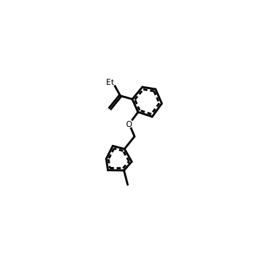 C=C(CC)c1ccccc1OCc1cccc(C)c1